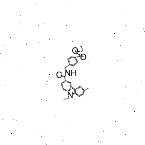 CCn1c2ccc(C)cc2c2cc(C(=O)NCc3ccc(S(=O)(=O)CC)cc3)ccc21